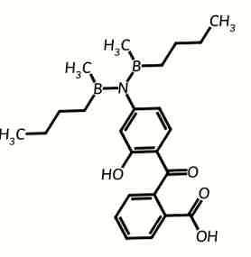 CCCCB(C)N(B(C)CCCC)c1ccc(C(=O)c2ccccc2C(=O)O)c(O)c1